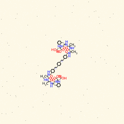 C[C@H](NC(=O)c1ccc(/C=C/c2ccc(/C=C/c3ccc(C(=O)N[C@@H](C)C(=O)N[C@@H](C)C(=O)N[C@@H](Cc4ccccc4)C(=O)N[C@@H](CC(=O)O)C(=O)O)cc3)cc2)cc1)C(=O)N[C@@H](C)C(=O)N[C@@H](Cc1ccccc1)C(=O)N[C@@H](CC(=O)O)C(=O)O